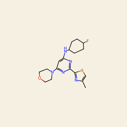 Cc1csc(-c2nc(NC3CCC(F)CC3)cc(N3CCOCC3)n2)n1